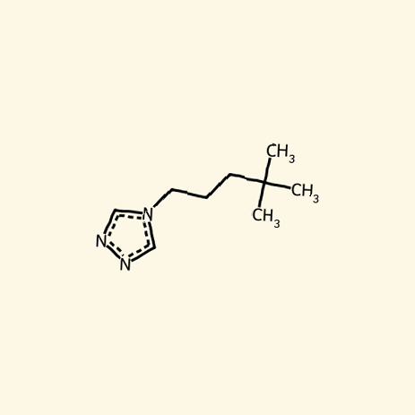 CC(C)(C)CCCn1cnnc1